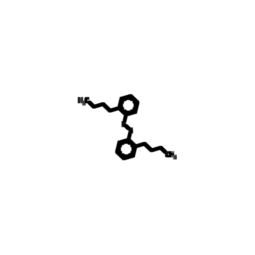 CCCCc1ccccc1SSc1ccccc1CCCC